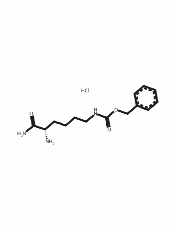 Cl.NC(=O)[C@@H](N)CCCCNC(=O)OCc1ccccc1